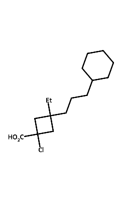 CCC1(CCCC2CCCCC2)CC(Cl)(C(=O)O)C1